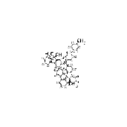 Cc1ccc(-c2ccc(N(c3ccc4c(c3)C(C)(C)c3ccccc3-4)c3ccc4c(c3)C3(C5=C(C=CCC5C)c5ccccc53)c3ccccc3-4)cc2)cc1